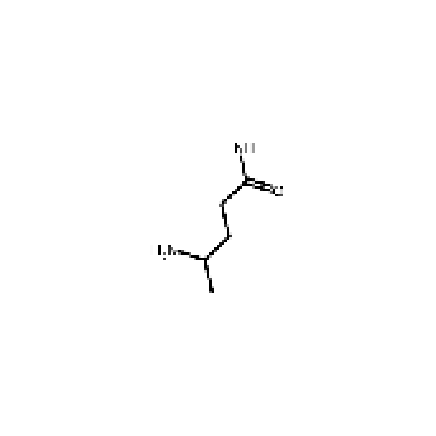 CC(N)CCC([NH])=O